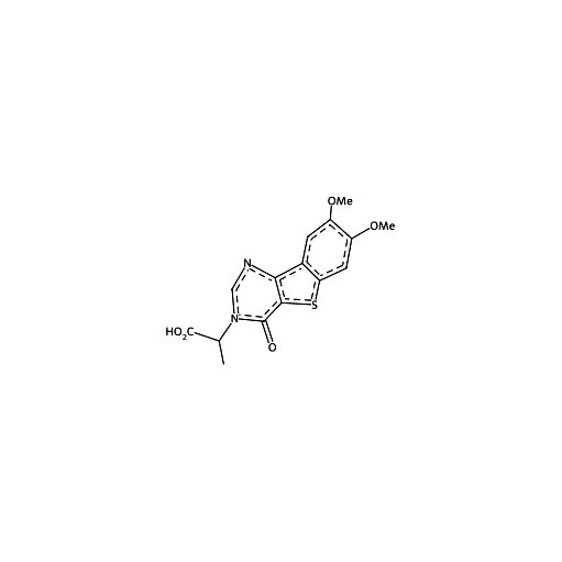 COc1cc2sc3c(=O)n(C(C)C(=O)O)cnc3c2cc1OC